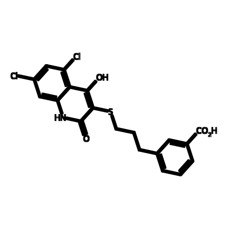 O=C(O)c1cccc(CCCSc2c(O)c3c(Cl)cc(Cl)cc3[nH]c2=O)c1